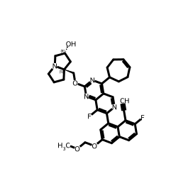 C#Cc1c(F)ccc2cc(OCOC)cc(-c3ncc4c(C5CCC=CCC5)nc(OC[C@@]56CCCN5C[C@H](O)C6)nc4c3F)c12